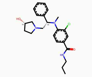 CCCNC(=O)c1ccc(N(C)[C@H](CN2CC[C@H](O)C2)c2ccccc2)c(Cl)c1